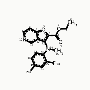 CCOC(=O)c1oc2ccncc2c1N(C)c1ccc(I)cc1F